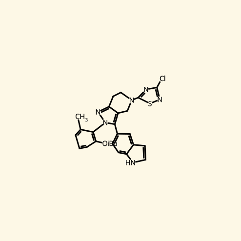 Cc1cccc(OCC(C)C)c1-n1nc2c(c1-c1ccc3[nH]ccc3c1)CN(c1nc(Cl)ns1)CC2